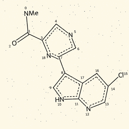 CNC(=O)c1cncc(-c2c[nH]c3ncc(Cl)cc23)n1